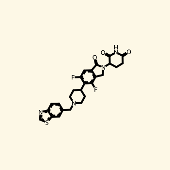 O=C1CCC(N2Cc3c(cc(F)c(C4CCN(Cc5ccc6ncsc6c5)CC4)c3F)C2=O)C(=O)N1